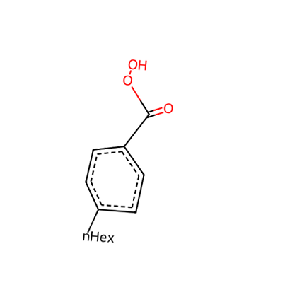 CCCCCCc1ccc(C(=O)OO)cc1